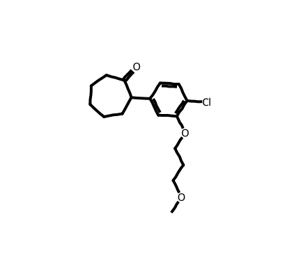 COCCCOc1cc(C2CCCCCC2=O)ccc1Cl